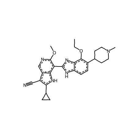 CCOc1c(C2CCN(C)CC2)ccc2[nH]c(-c3c(OC)ncc4c(C#N)c(C5CC5)[nH]c34)nc12